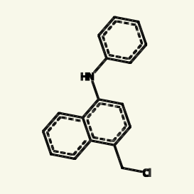 ClCc1ccc(Nc2ccccc2)c2ccccc12